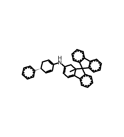 CC12CC(NC3=CC[C@@H](c4ccccc4)C=C3)=CC=C1c1ccccc1C21c2ccccc2-c2ccccc21